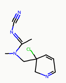 C/C(=N\C#N)N(C)CC1(Cl)C=CC=NC1